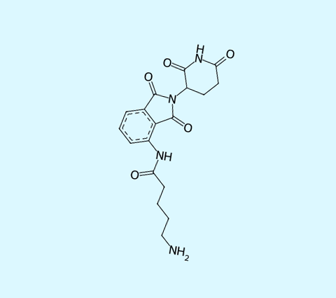 NCCCCC(=O)Nc1cccc2c1C(=O)N(C1CCC(=O)NC1=O)C2=O